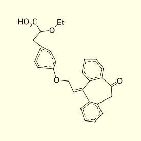 CCOC(Cc1ccc(OC/C=C2/c3ccccc3CC(=O)c3ccccc32)cc1)C(=O)O